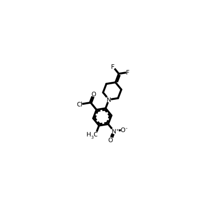 Cc1cc(C(=O)Cl)c(N2CCC(=C(F)F)CC2)cc1[N+](=O)[O-]